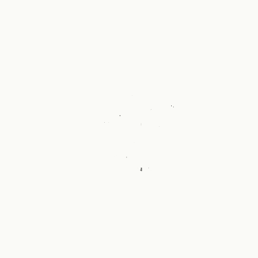 CC(=O)Nc1ccc([As](=O)(O)OO)c(C(F)(F)F)c1.O=Cc1ccccc1[N+](=O)[O-]